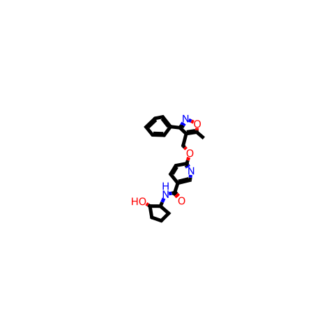 Cc1onc(-c2ccccc2)c1COc1ccc(C(=O)NC2CCCC2O)cn1